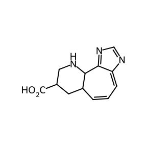 O=C(O)C1CNC2C3=NC=NC3=CC=CC2C1